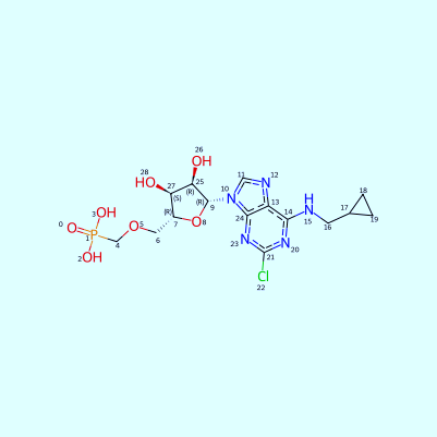 O=P(O)(O)COC[C@H]1O[C@@H](n2cnc3c(NCC4CC4)nc(Cl)nc32)[C@H](O)[C@@H]1O